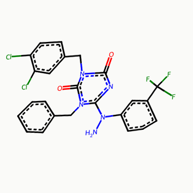 NN(c1cccc(C(F)(F)F)c1)c1nc(=O)n(Cc2ccc(Cl)c(Cl)c2)c(=O)n1Cc1ccccc1